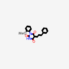 COc1ccccc1N1C(=O)NC(=O)C(=CC=Cc2ccccc2)C1=O